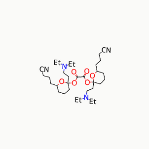 CCN(CC)CCC1(OC(=O)C(=O)OC2(CCN(CC)CC)CCCC(CCCC#N)O2)CCCC(CCCC#N)O1